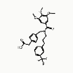 COc1cc(C(=O)N(CCCc2cccc(C(F)(F)F)c2)Cc2ccc(CC(=O)O)cc2)cc(OC)c1OC